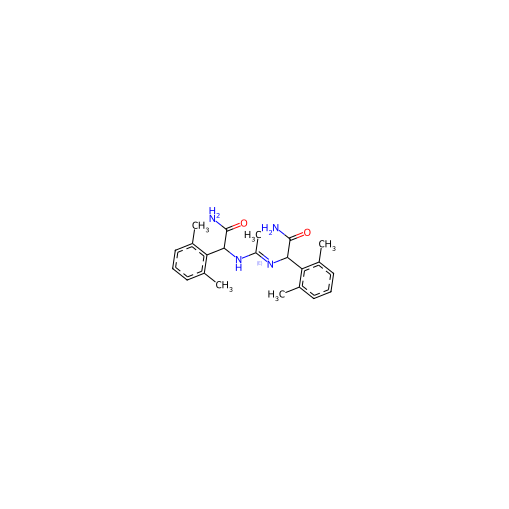 C/C(=N\C(C(N)=O)c1c(C)cccc1C)NC(C(N)=O)c1c(C)cccc1C